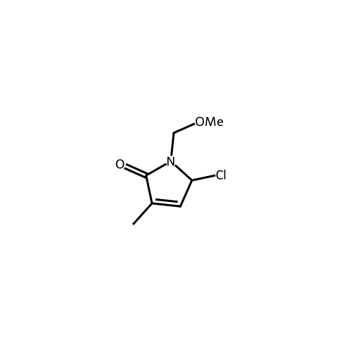 COCN1C(=O)C(C)=CC1Cl